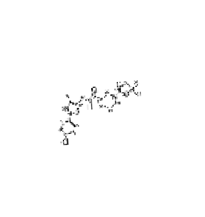 Cc1nc(-c2ccc(Cl)cc2)sc1CNC(=O)C1CCCN(C(=O)OC(C)(C)C)C1